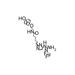 NC(=NCC(F)(F)F)Nc1ccnc(SCCCCC(=O)NCCOC(=O)/C=C\C(=O)O)n1